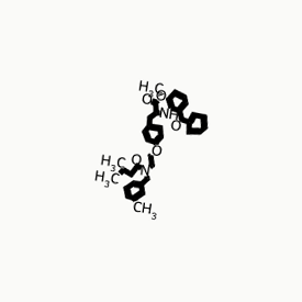 COC(=O)C(Cc1ccc(OCCN(Cc2cccc(C)c2)C(=O)CC(C)C)cc1)Nc1ccccc1C(=O)c1ccccc1